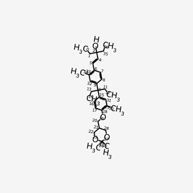 CCC(O)(/C=C/c1ccc(C(CC)(CC)c2ccc(OCC3COC(C)(C)OC3)c(C)c2)cc1C)CC